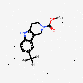 [2H]C([2H])([2H])c1ccc2[nH]c3c(c2c1)CN(C(=O)OC(C)(C)C)CC3